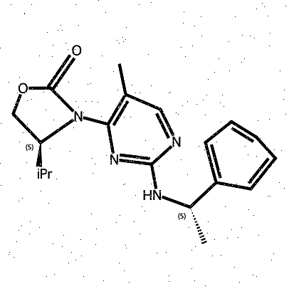 Cc1cnc(N[C@@H](C)c2ccccc2)nc1N1C(=O)OC[C@@H]1C(C)C